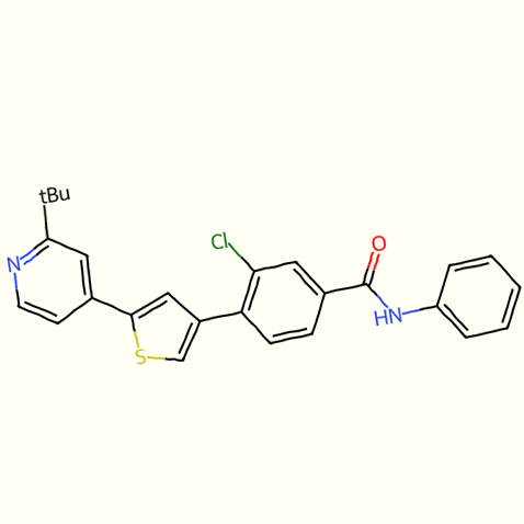 CC(C)(C)c1cc(-c2cc(-c3ccc(C(=O)Nc4ccccc4)cc3Cl)cs2)ccn1